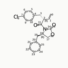 C=C[C@@H](Cc1ccc(Cl)cc1)C(=O)N1C(=O)OC[C@H]1Cc1ccccc1